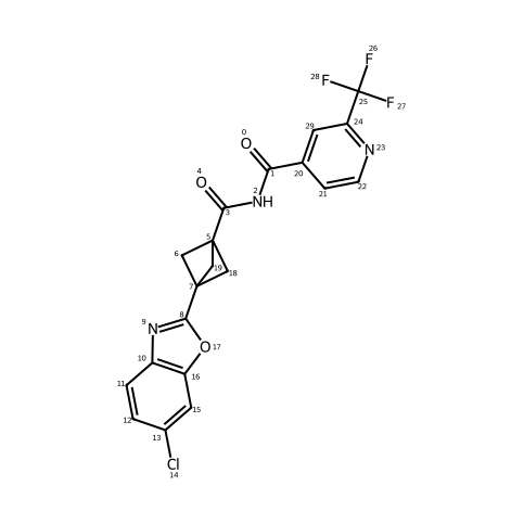 O=C(NC(=O)C12CC(c3nc4ccc(Cl)cc4o3)(C1)C2)c1ccnc(C(F)(F)F)c1